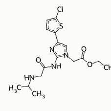 CCOC(=O)Cn1cc(-c2ccc(Cl)s2)nc1NC(=O)CNC(C)C